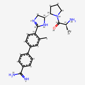 Cc1cc(-c2ccc(C(=N)N)cc2)ccc1C1=NCC([C@@H]2CCCN2C(=O)[C@@H](N)C(C)C)N1